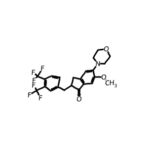 COc1cc2c(cc1N1CCOCC1)CC(Cc1ccc(C(F)(F)F)c(C(F)(F)F)c1)C2=O